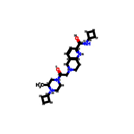 CC1CN(C(=O)CN2CCc3nc(C(=O)NC4CCC4)ccc3C2)CCN1C1CCC1